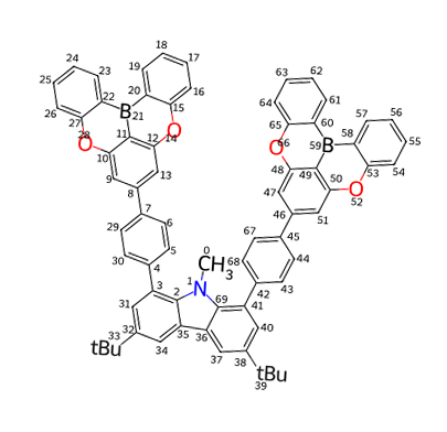 Cn1c2c(-c3ccc(-c4cc5c6c(c4)Oc4ccccc4B6c4ccccc4O5)cc3)cc(C(C)(C)C)cc2c2cc(C(C)(C)C)cc(-c3ccc(-c4cc5c6c(c4)Oc4ccccc4B6c4ccccc4O5)cc3)c21